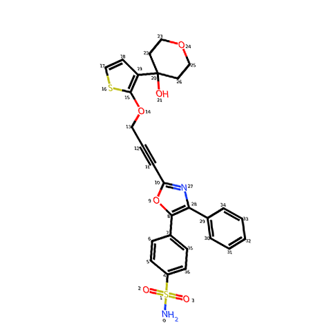 NS(=O)(=O)c1ccc(-c2oc(C#CCOc3sccc3C3(O)CCOCC3)nc2-c2ccccc2)cc1